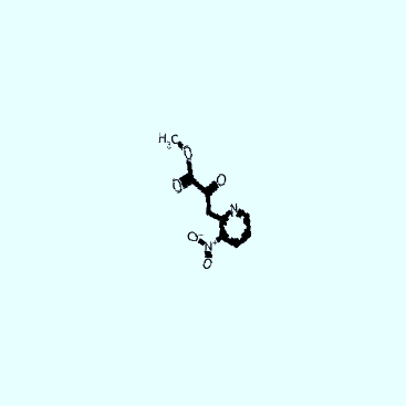 COC(=O)C(=O)Cc1ncccc1[N+](=O)[O-]